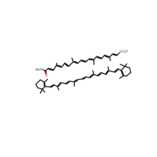 CC1=C(/C=C/C(C)=C/C=C/C(C)=C/C=C/C=C(C)/C=C/C=C(C)/C=C/C2=C(C)CCCC2(C)C)C(C)(C)CCC1.COC(=O)/C=C/C(C)=C/C=C/C(C)=C/C=C/C=C(C)/C=C/C=C(C)/C=C/C(=O)O